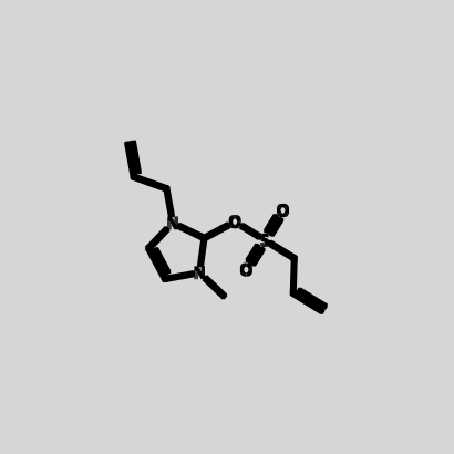 C=CCN1C=CN(C)C1OS(=O)(=O)CC=C